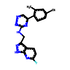 Cc1cc(C#N)ccc1-c1cnnc(NCc2n[nH]c3nc(F)ccc23)n1